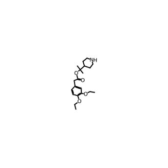 CCOc1ccc(CC(=O)OC(C)(C)C2CCNCC2)cc1OCC